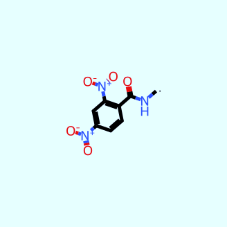 [CH2]NC(=O)c1ccc([N+](=O)[O-])cc1[N+](=O)[O-]